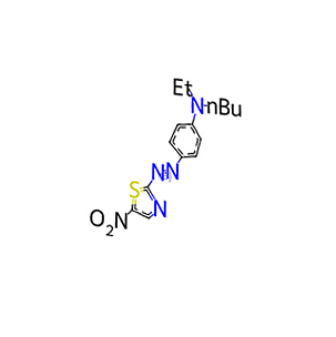 CCCCN(CC)c1ccc(/N=N/c2ncc([N+](=O)[O-])s2)cc1